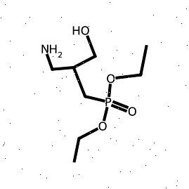 CCOP(=O)(CC(CN)CO)OCC